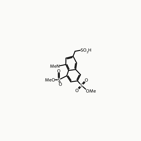 CNc1cc(CS(=O)(=O)O)cc2cc(S(=O)(=O)OC)cc(S(=O)(=O)OC)c12